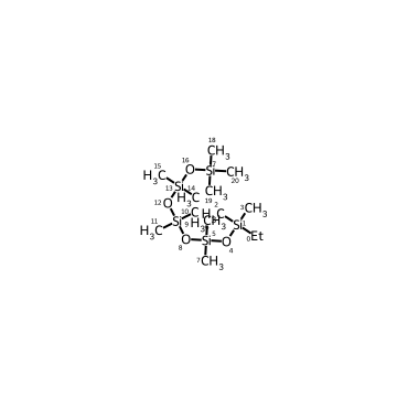 CC[Si](C)(C)O[Si](C)(C)O[Si](C)(C)O[Si](C)(C)O[Si](C)(C)C